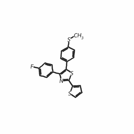 CSc1ccc(-c2sc(-c3cccs3)nc2-c2ccc(F)cc2)cc1